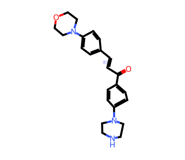 O=C(/C=C/c1ccc(N2CCOCC2)cc1)c1ccc(N2CCNCC2)cc1